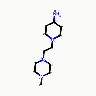 CN1CCN(CCN2CCC(N)CC2)CC1